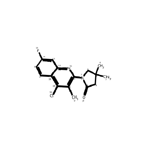 Cc1c(N2CC(C)(C)CC2=O)nc2cc(F)ccc2c1Cl